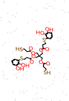 O=C(CCS)OCC(COC(=O)CCS)(COC(=O)CCSc1cccc(O)c1O)COC(=O)CCSc1cccc(O)c1O